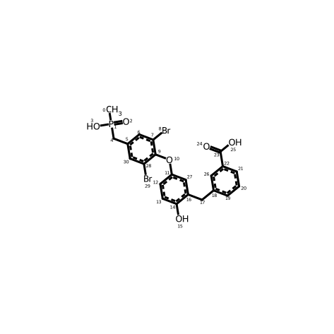 CP(=O)(O)Cc1cc(Br)c(Oc2ccc(O)c(Cc3cccc(C(=O)O)c3)c2)c(Br)c1